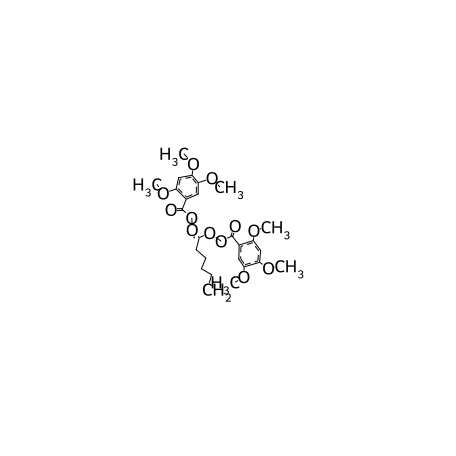 [CH2]CCCC[C](OOC(=O)c1cc(OC)c(OC)cc1OC)OOC(=O)c1cc(OC)c(OC)cc1OC